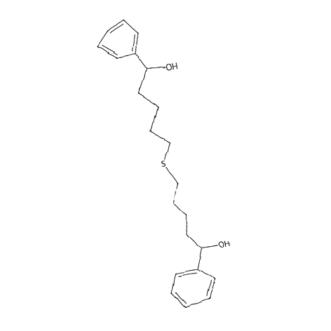 OC(CCCCSCCCCC(O)c1ccccc1)c1ccccc1